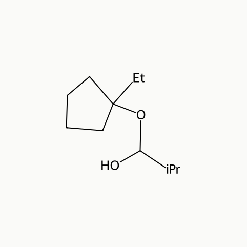 CCC1(OC(O)C(C)C)CCCC1